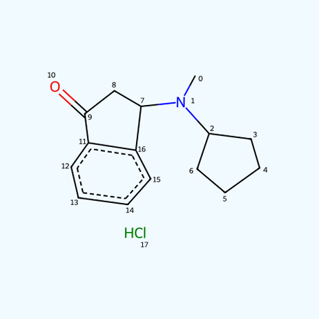 CN(C1CCCC1)C1CC(=O)c2ccccc21.Cl